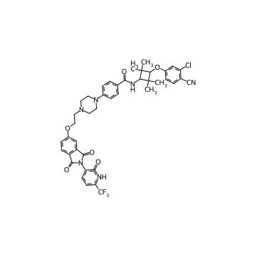 CC1(C)C(NC(=O)c2ccc(N3CCN(CCOc4ccc5c(c4)C(=O)N(c4ccc(C(F)(F)F)[nH]c4=O)C5=O)CC3)cc2)C(C)(C)C1Oc1ccc(C#N)c(Cl)c1